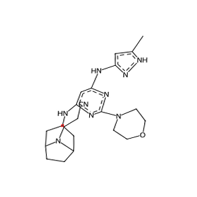 Cc1cc(Nc2cc(NC3CC4CCC(C3)N4CCC#N)nc(N3CCOCC3)n2)n[nH]1